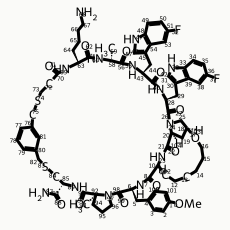 COc1ccc(C[C@@H]2NC(=O)[C@@H]3CCCCCCO[C@H]4C[C@@H](C(=O)N3)N(C4)C(=O)[C@H](Cc3c[nH]c4ccc(F)cc34)NC(=O)[C@H](Cc3c[nH]c4ccc(F)cc34)NC(=O)[C@@H](C)NC(=O)[C@H](CCCCN)NC(=O)CCSCc3cccc(c3)CSC[C@@H](C(N)=O)NC(=O)[C@]3(C)CCCN3C2=O)cc1